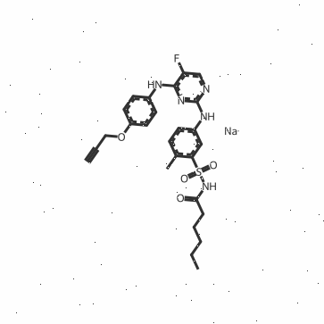 C#CCOc1ccc(Nc2nc(Nc3ccc(C)c(S(=O)(=O)NC(=O)CCCCC)c3)ncc2F)cc1.[Na]